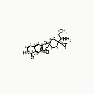 CCC(N)C1(C2CC2)CCC(C)(Oc2cc3cc[nH]c(=O)c3cc2Cl)CC1